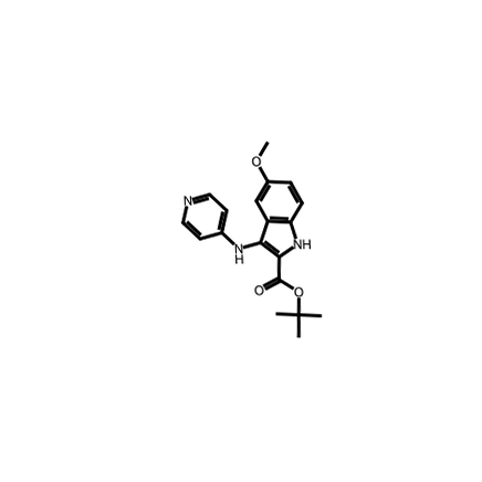 COc1ccc2[nH]c(C(=O)OC(C)(C)C)c(Nc3ccncc3)c2c1